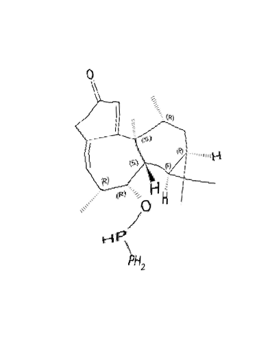 C[C@@H]1C=C2CC(=O)C=C2[C@]2(C)[C@@H]([C@@H]1OPP)[C@H]1[C@@H](C[C@H]2C)C1(C)C